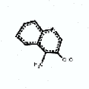 Cc1c(C=O)cnc2ccccc12